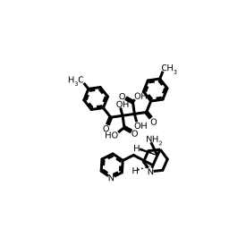 Cc1ccc(C(=O)C(O)(C(=O)O)C(O)(C(=O)O)C(=O)c2ccc(C)cc2)cc1.N[C@@H]1C2CCN(CC2)[C@H]1Cc1cccnc1